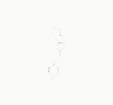 C[N+]1(c2nnc(COc3ccc(Cl)cc3Cl)s2)CC(O)NC1=O